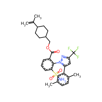 C=C(C)C1CCC(COC(=O)c2cccc(S(N)(=O)=O)c2-n2nc(C(F)(F)F)cc2-c2cc(C)ccc2C)CC1